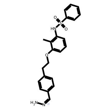 Cc1c(NS(=O)(=O)c2ccccc2)cccc1OCCc1ccc(/C=N\N)cc1